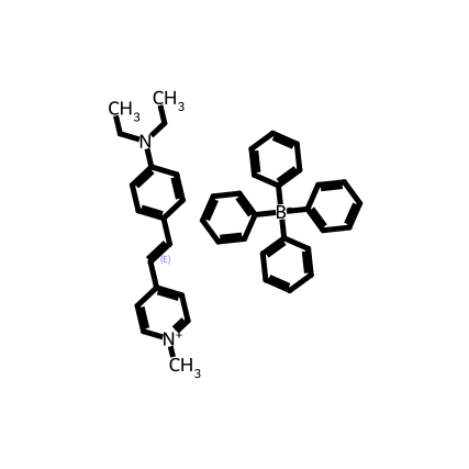 CCN(CC)c1ccc(/C=C/c2cc[n+](C)cc2)cc1.c1ccc([B-](c2ccccc2)(c2ccccc2)c2ccccc2)cc1